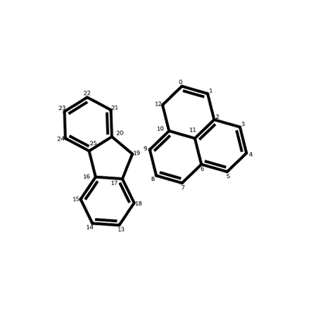 C1=Cc2cccc3cccc(c23)C1.c1ccc2c(c1)Cc1ccccc1-2